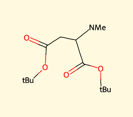 CNC(CC(=O)OC(C)(C)C)C(=O)OC(C)(C)C